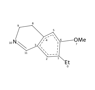 CCc1cc2c(cc1OC)CCN=C2